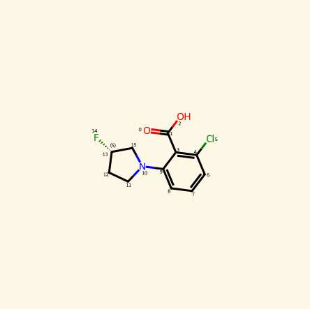 O=C(O)c1c(Cl)cccc1N1CC[C@H](F)C1